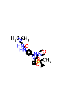 C=CC(C1CC1)S(=O)(=O)C1(c2cc(N3CCOCC3)nc(-c3ccc(NC(=O)NCCN(C)C)cc3)n2)CCC1